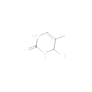 O=C1NC=C(F)C(O)N1